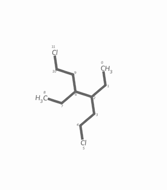 CCC(CCCl)C(CC)CCCl